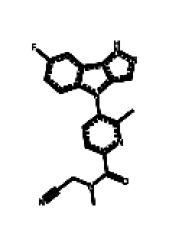 Cc1nc(C(=O)N(C)CC#N)ccc1-n1c2ccc(F)cc2c2[nH]ncc21